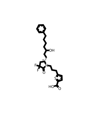 O=C(O)c1ccc(CCCN2C(=O)C(F)(F)C[C@@H]2CCC(O)CCCCc2ccccc2)s1